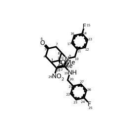 COC1(OC)C2CC(=O)CC1N(Cc1ccc(F)cc1)C(NCc1ccc(F)cc1)=C2[N+](=O)[O-]